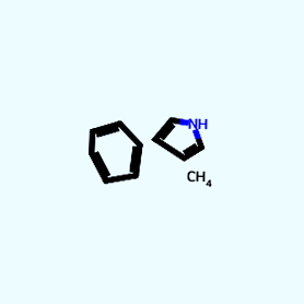 C.c1cc[nH]c1.c1ccccc1